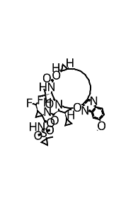 COc1ccc2nc3c(nc2c1)O[C@H]1CN(C(=O)[C@H](C(C)(C)C)NC(=O)O[C@@H]2C[C@H]2CCCCCC3)[C@H](C(=O)N[C@]2(C(=O)NS(=O)(=O)C3(C)CC3)C[C@H]2C(F)F)[C@@H]1C1CC1